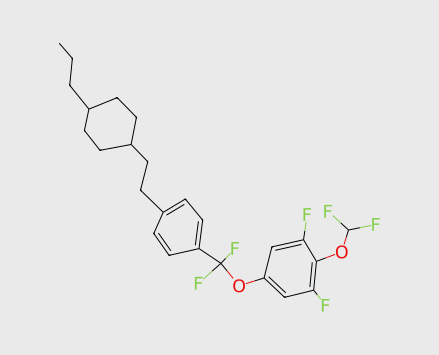 CCCC1CCC(CCc2ccc(C(F)(F)Oc3cc(F)c(OC(F)F)c(F)c3)cc2)CC1